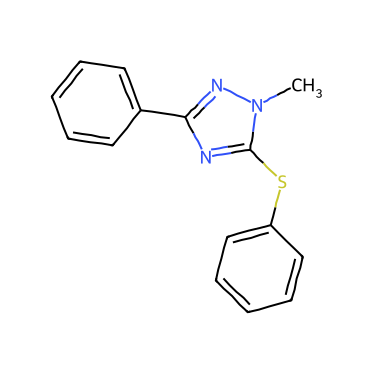 Cn1nc(-c2ccccc2)nc1Sc1ccccc1